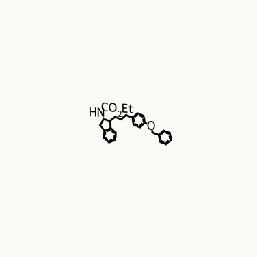 CCOC(=O)N[C@H]1Cc2ccccc2C1CCCc1ccc(OCc2ccccc2)cc1